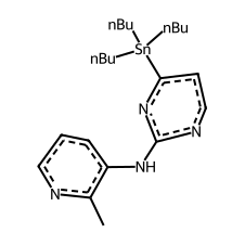 CCC[CH2][Sn]([CH2]CCC)([CH2]CCC)[c]1ccnc(Nc2cccnc2C)n1